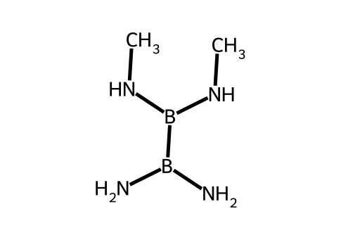 CNB(NC)B(N)N